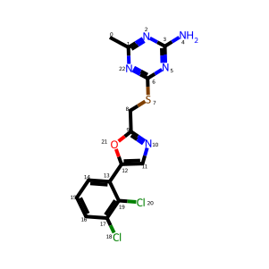 Cc1nc(N)nc(SCc2ncc(-c3cccc(Cl)c3Cl)o2)n1